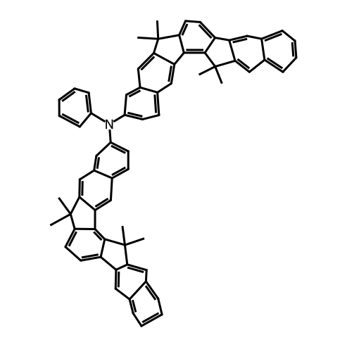 CC1(C)c2cc3cc(N(c4ccccc4)c4ccc5cc6c(cc5c4)C(C)(C)c4ccc5c(c4-6)C(C)(C)c4cc6ccccc6cc4-5)ccc3cc2-c2c1ccc1c2C(C)(C)c2cc3ccccc3cc2-1